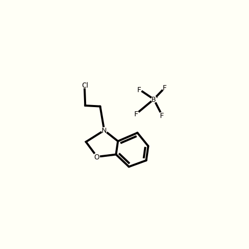 ClCCN1COc2ccccc21.F[B-](F)(F)F